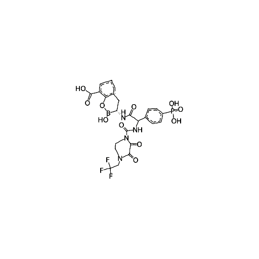 O=C(O)c1cccc2c1OB(O)[C@@H](NC(=O)C(NC(=O)N1CCN(CC(F)(F)F)C(=O)C1=O)c1ccc(P(=O)(O)O)cc1)C2